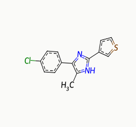 Cc1[nH]c(-c2ccsc2)nc1-c1ccc(Cl)cc1